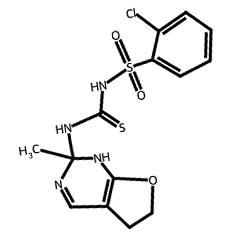 CC1(NC(=S)NS(=O)(=O)c2ccccc2Cl)N=CC2=C(N1)OCC2